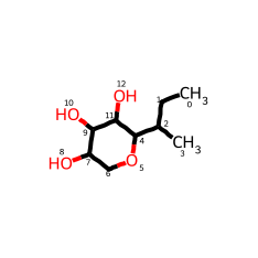 CCC(C)C1OCC(O)C(O)C1O